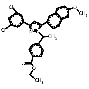 CCOC(=O)c1ccc(C(C)n2nc(-c3cc(Cl)cc(Cl)c3)cc2-c2ccc3cc(OC)ccc3c2)cc1